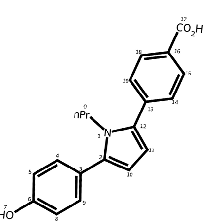 CCCn1c(-c2ccc(O)cc2)ccc1-c1ccc(C(=O)O)cc1